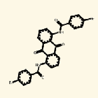 O=C(Nc1cccc2c1C(=O)c1cccc(NC(=O)c3ccc(Br)cc3)c1C2=O)c1ccc(Br)cc1